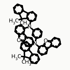 CC1(C)c2ccccc2-c2c(N(c3cccc(N(c4cccc5c4C(C)(C)c4ccccc4-5)c4cccc5oc6ccccc6c45)c3)c3cccc4c3oc3ccccc34)cccc21